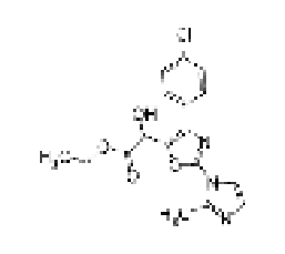 CCOC(=O)C(O)c1oc(-n2ccnc2C)nc1-c1ccc(Cl)cc1